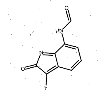 O=CNc1cccc2c1=NC(=O)C=2F